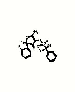 [2H]C1(c2ccccc2F)OC(N)=C(OS(=O)(=O)C([2H])([2H])c2ccccc2)C1=O